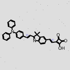 CC1(C)C(/C=C/c2ccc(N(c3ccccc3)c3ccccc3)cc2)=Nc2ccc(/C=C/c3c(O)c(=O)c3=O)cc21